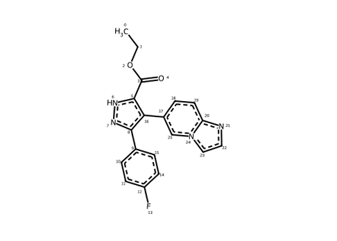 CCOC(=O)c1[nH]nc(-c2ccc(F)cc2)c1-c1ccc2nccn2c1